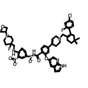 CC1(C)CCC(CN2CC=C(c3ccc(C(=O)N[S+]([O-])c4ccc(NCC5(F)CCN(C6COC6)CC5)c([N+](=O)[O-])c4)c(Oc4cnc5[nH]ccc5c4)c3)CC2)=C(c2ccc(Cl)cc2F)C1